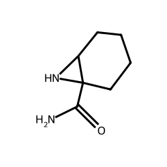 NC(=O)C12CCCCC1N2